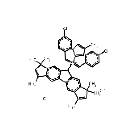 CC1=CC(C)[C]([Zr+2](=[CH]c2ccc(Cl)cc2)(=[CH]c2ccc(Cl)cc2)[CH]2c3cc4c(cc3-c3cc5c(cc32)C(C)(C)C=C5C)C(C)=CC4(C)C)=C1.[Cl-].[Cl-]